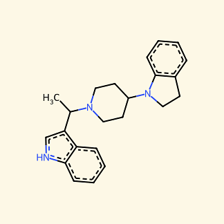 CC(c1c[nH]c2ccccc12)N1CCC(N2CCc3ccccc32)CC1